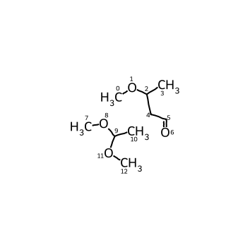 COC(C)CC=O.COC(C)OC